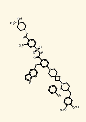 COc1ccc(CN2CCN(C3CC4(CCN(c5ccc(C(=O)NS(=O)(=O)c6ccc(NC[C@H]7CC[C@](C)(O)CC7)c([N+](=O)[O-])c6)c(Oc6cnc7[nH]ccc7c6)c5)CC4)C3)[C@@H](c3ccccc3C(C)C)C2)cc1OC